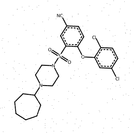 N#Cc1ccc(Oc2cc(Cl)ccc2Cl)c(S(=O)(=O)N2CCN(C3CCCCCC3)CC2)c1